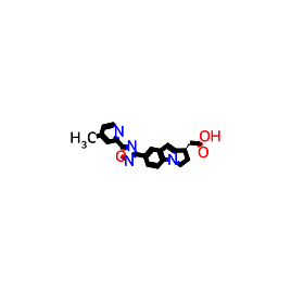 Cc1ccnc(-c2nc(-c3ccc4c(c3)cc3n4CC[C@H]3CC(=O)O)no2)c1